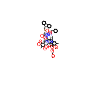 COCCOCOc1c(OC)c(C)cc2c1[C@@H]1C3CC4(O)C(=O)C(C)=C5OCOC5=C4[C@H](COC(=O)[C@@H](CSCC4c5ccccc5-c5ccccc54)NC(=O)OCc4ccccc4)N3[C@@H](C#N)[C@@H](C2)N1C